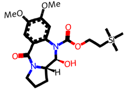 COc1cc2c(cc1OC)N(C(=O)OCC[Si](C)(C)C)[C@@H](O)[C@@H]1CCCN1C2=O